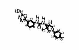 CC(C)(C)c1nnc(-c2cccc(NC(=O)N[C@H]3[C@@H]4CN(c5ccc(F)cc5)C[C@@H]43)c2)o1